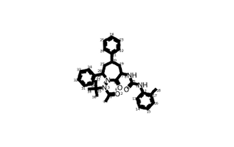 CC(=O)N(N1C(=O)C(NC(=O)Nc2ccccc2C)CC(c2ccccc2)CC1c1ccccc1)C(C)(C)C